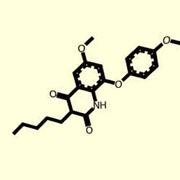 CCCCCC1C(=O)Nc2c(Oc3ccc(OC)cc3)cc(OC)cc2C1=O